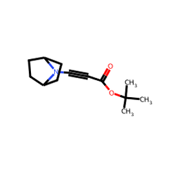 CC(C)(C)OC(=O)C#CN1C2CCC1CC2